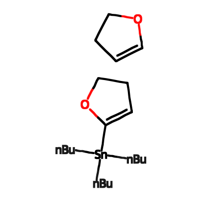 C1=COCC1.CCC[CH2][Sn]([CH2]CCC)([CH2]CCC)[C]1=CCCO1